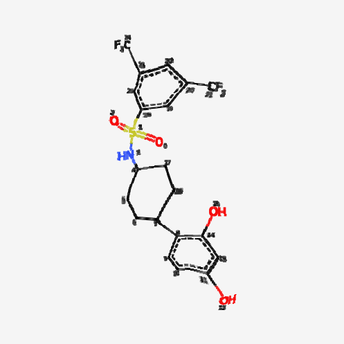 O=S(=O)(NC1CCC(c2ccc(O)cc2O)CC1)c1cc(C(F)(F)F)cc(C(F)(F)F)c1